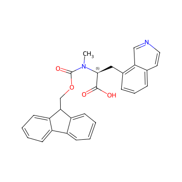 CN(C(=O)OCC1c2ccccc2-c2ccccc21)[C@@H](Cc1cccc2ccncc12)C(=O)O